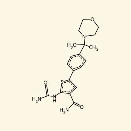 CC(C)(c1ccc(-c2cc(C(N)=O)c(NC(N)=O)s2)cc1)N1CCOCC1